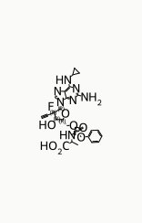 C#C[C@@]1(F)[C@H](O)[C@@H](COP(=O)(NC(C)C(=O)O)Oc2ccccc2)O[C@H]1n1cnc2c(NC3CC3)nc(N)nc21